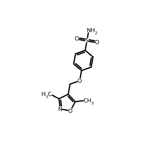 Cc1noc(C)c1COc1ccc(S(N)(=O)=O)cc1